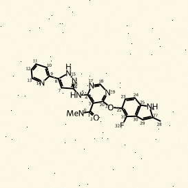 CNC(=O)c1c(Nc2cc(-c3ccccn3)[nH]n2)ncnc1Oc1ccc2[nH]c(C)cc2c1F